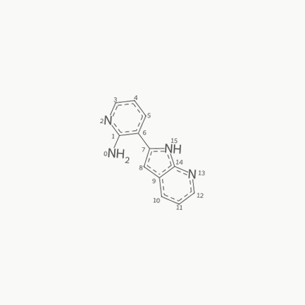 Nc1ncccc1-c1cc2cccnc2[nH]1